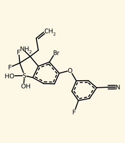 C=CCC1(N)c2c(ccc(Oc3cc(F)cc(C#N)c3)c2Br)S(O)(O)C1(F)F